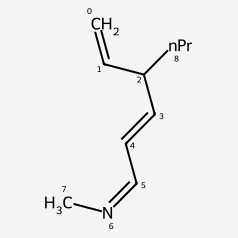 C=CC(/C=C/C=N\C)CCC